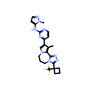 Cc1c(-c2ccnc(Nc3ccnn3C)n2)cn2c1-c1nnc(C3(C(F)(F)F)CCC3)n1CCC2